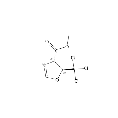 COC(=O)[C@H]1N=CO[C@@H]1C(Cl)(Cl)Cl